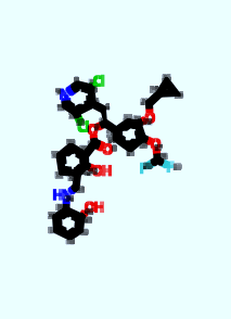 O=C(O[C@@H](Cc1c(Cl)cncc1Cl)c1ccc(OC(F)F)c(OCC2CC2)c1)c1cccc(CNc2ccccc2O)c1O